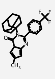 CC1=CC2C(=O)N(C34CC5CC(CC(C5)C3)C4)C(c3ccc(C(F)(F)F)cc3)=NC2=C1